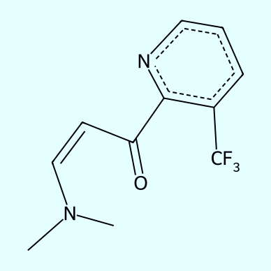 CN(C)/C=C\C(=O)c1ncccc1C(F)(F)F